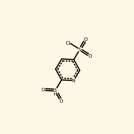 O=[SH](=O)c1ccc(S(=O)(=O)Cl)cn1